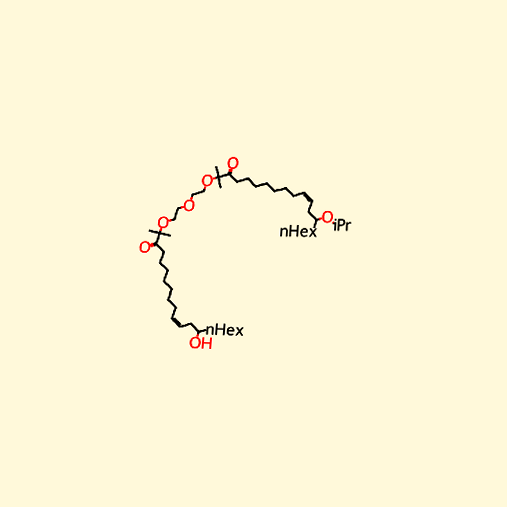 CCCCCCC(O)C/C=C\CCCCCCCC(=O)C(C)(C)OCCOCCOC(C)(C)C(=O)CCCCCCC/C=C\CC(CCCCCC)OC(C)C